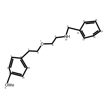 COc1ccc(CCOCCNCc2ccccc2)cc1